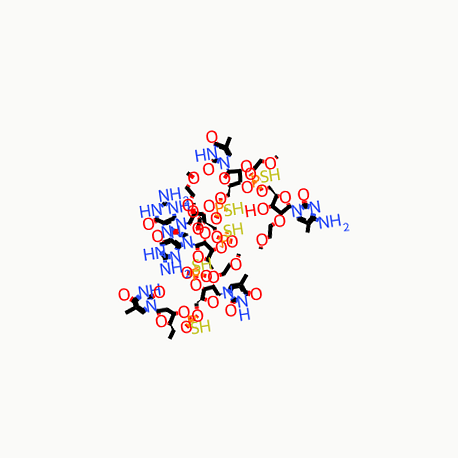 CC[C@H]1O[C@@H](n2cc(C)c(=O)[nH]c2=O)CC1OP(=O)(S)OC[C@H]1O[C@@H](n2cc(C)c(=O)[nH]c2=O)[C@@H](OCCOC)C1OP(=O)(S)OC[C@H]1O[C@@H](n2cnc3c(=O)[nH]c(N)nc32)[C@@H](OCCOC)C1OP(=O)(S)OC[C@H]1O[C@@H](n2cnc3c2NC(N)NC3=O)[C@@H](OCCOC)C1OP(=O)(S)OC[C@H]1O[C@@H](n2cc(C)c(=O)[nH]c2=O)[C@@H](OCCOC)C1OP(=O)(S)OC[C@H]1O[C@@H](n2cc(C)c(N)nc2=O)[C@@H](OCCOC)C1O